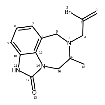 C=C(Br)CN1Cc2cccc3[nH]c(=O)n(c23)CC1C